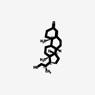 C[C@H](CO)[C@H]1CC[C@H]2[C@@H]3CCC4=CC(=O)CC[C@]4(C)C3CC[C@]12C